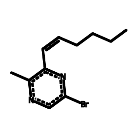 CCCC/C=C\c1nc(Br)cnc1C